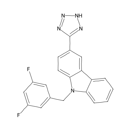 Fc1cc(F)cc(Cn2c3ccccc3c3cc(-c4nn[nH]n4)ccc32)c1